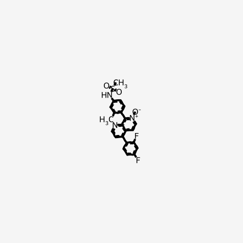 Cc1cc(NS(C)(=O)=O)ccc1-c1c2nccc(-c3ccc(F)cc3F)c2cc[n+]1[O-]